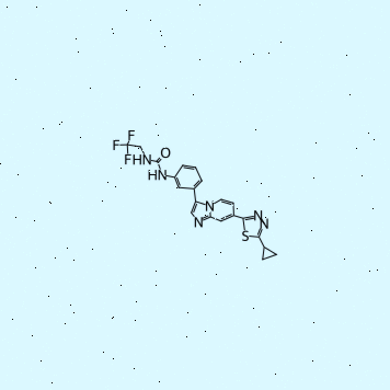 O=C(NCC(F)(F)F)Nc1cccc(-c2cnc3cc(-c4nnc(C5CC5)s4)ccn23)c1